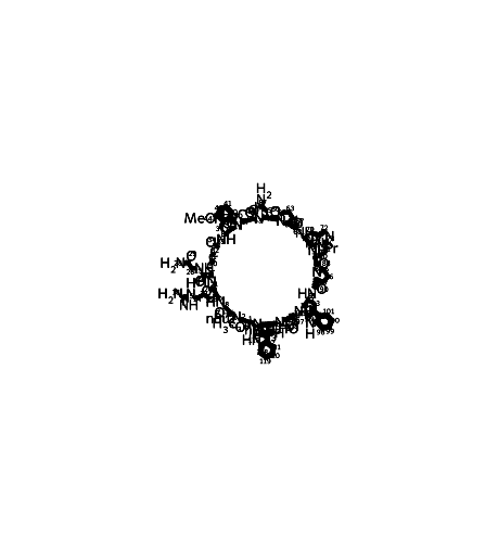 CCCC[C@H]1C(=O)N(C)[C@@H](CCCC)C(=O)N[C@@H](CCCNC(=N)N)C(=O)N[C@H](C(=O)NCC(N)=O)CSCC(=O)N[C@@H](Cc2ccccc2OC)C(=O)N(C)[C@@H](C)C(=O)N[C@@H](CC(N)=O)C(=O)N2CCC[C@H]2C(=O)N[C@@H](Cc2cnc[nH]2)C(=O)N[C@@H](CC(C)C)C(=O)N2CCCC2C(=O)N[C@@H](Cc2c[nH]c3ccccc23)C(=O)N[C@@H](CO)C(=O)N[C@@H](Cc2c[nH]c3ccccc23)C(=O)N1C